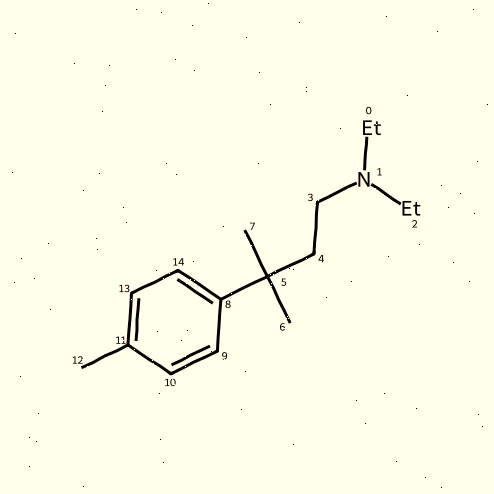 CCN(CC)CCC(C)(C)c1ccc(C)cc1